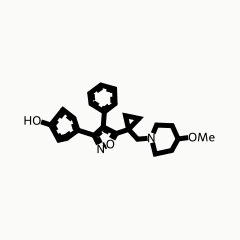 COC1CCN(CC2(c3onc(-c4ccc(O)cc4)c3-c3ccccc3)CC2)CC1